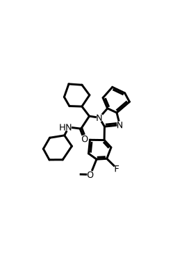 COc1ccc(-c2nc3ccccc3n2C(C(=O)NC2CCCCC2)C2CCCCC2)cc1F